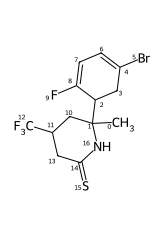 CC1(C2CC(Br)=CC=C2F)CC(C(F)(F)F)CC(=S)N1